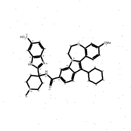 COc1ccc2c(c1)OCCn1c-2c(C2CCCCC2)c2ccc(C(=O)NC3(c4nc5ccc(C(=O)O)cc5[nH]4)CCN(C)CC3)cc21